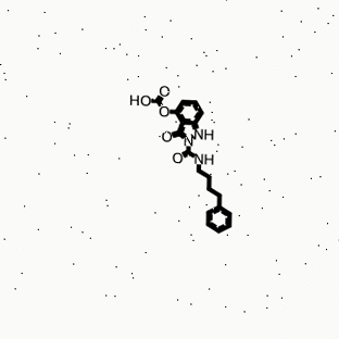 O=C(O)Oc1cccc2[nH]n(C(=O)NCCCCc3ccccc3)c(=O)c12